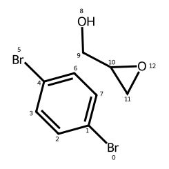 Brc1ccc(Br)cc1.OCC1CO1